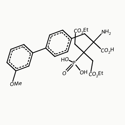 CCOC(=O)CC(CC(=O)OCC)(C(N)(Cc1ccc(-c2cccc(OC)c2)cc1)C(=O)O)P(=O)(O)O